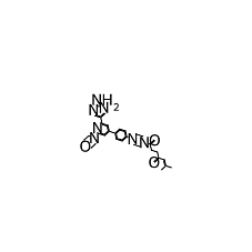 CC(C)=CC(=O)CCC(=O)N1CCN(c2ccc(-c3cc(-c4cnc(N)nc4)nc(N4CCOCC4)c3)cc2)CC1